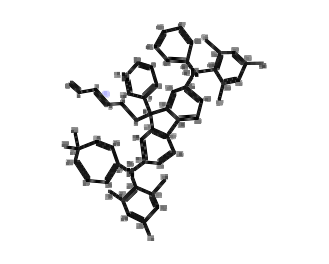 C=C/C=C/CCC1(c2cccnc2)c2cc(N(C3=CC=CC(C)(C)C=C3)c3c(C)cc(C)cc3C)ccc2-c2ccc(N(c3ccccc3)c3c(C)cc(C)cc3C)cc21